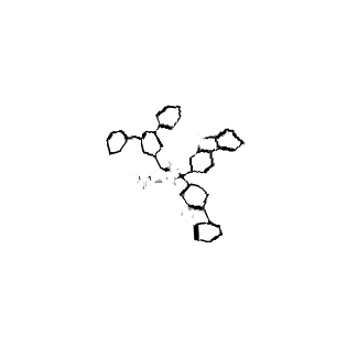 CNC(/N=C(\C)C1C=C(C2=CCCC=C2)C=C(C2=CC=CCC2)C1)(C1=Cc2oc3ccccc3c2CC1)C1C=Cc2c(oc3ccccc23)C1